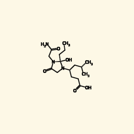 CCCC1(O)N(CC(N)=O)C(=O)CN1C(CCC(=O)O)CC(C)C